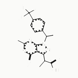 Cc1nc2c(c(C(C)C(=O)O)nn2C(C)c2ccc(C(F)(F)F)cc2)c(=O)[nH]1